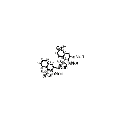 CCCCCCCCCc1cc2ccccc2c(S(=O)(=O)[O-])c1CCCCCCCCC.CCCCCCCCCc1cc2ccccc2c(S(=O)(=O)[O-])c1CCCCCCCCC.[Cd+2]